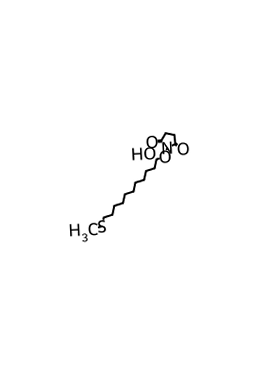 CSCCCCCCCCCCC(O)ON1C(=O)CCC1=O